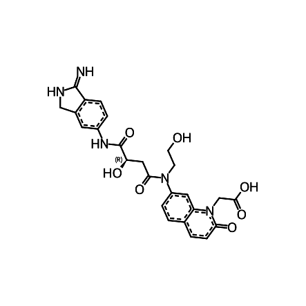 N=C1NCc2cc(NC(=O)[C@H](O)CC(=O)N(CCO)c3ccc4ccc(=O)n(CC(=O)O)c4c3)ccc21